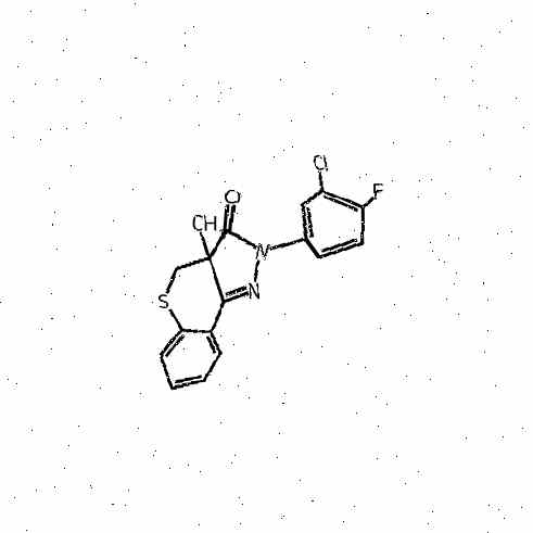 CC12CSc3ccccc3C1=NN(c1ccc(F)c(Cl)c1)C2=O